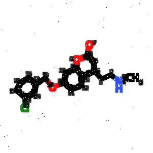 CNCCc1cc(=O)oc2cc(OCc3cccc(Cl)c3)ccc12